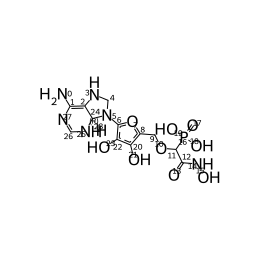 NC1=C2NCN(c3oc(COC(C(=O)NO)P(=O)(O)O)c(O)c3O)[C@H]2NC=N1